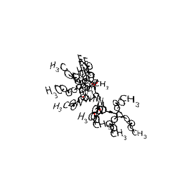 CCOC(=O)COc1cc(OCC(=O)OCC)c(C#Cc2cc(CN(CC(=O)OCC)Cc3cc(C#Cc4ccc5c(c4)C(CC(=O)OCC)(C(=O)OCC)c4cc(NC(=O)C(F)(F)F)ccc4-5)cc(CN(CC(=O)OCC)Cc4cc(C#Cc5c(OCC(=O)OCC)cc(OCC(=O)OCC)cc5OCC(=O)OCC)cc(C(=O)OCC)n4)n3)nc(C(=O)OCC)c2)c(OCC(=O)OCC)c1